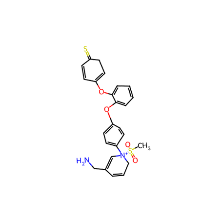 CS(=O)(=O)[N+]1(c2ccc(Oc3ccccc3OC3=CCC(=S)C=C3)cc2)C=C(CN)C=CC1